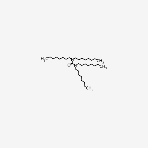 CCCCCCCCN(CCCCCCCC)C(=O)N(CCCCCCCC)CCCCCCCC